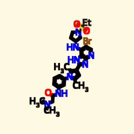 CCS(=O)(=O)N1CC[C@H](Nc2c(Br)cnc3nc(-c4cc(C)n(-c5cccc(NC(=O)CN(C)C)c5)c4C)[nH]c23)C1